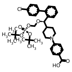 CC(C)(C)OP(=O)(OCO[C@@H](c1ccccc1-c1ccc(Cl)cc1)C1CCN(c2ccc(C(=O)O)cc2)CC1)OC(C)(C)C